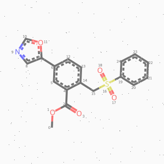 COC(=O)c1cc(-c2cnco2)ccc1CS(=O)(=O)c1ccccc1